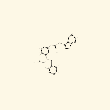 CC1CN(Cc2c(F)cccc2Cl)c2cc(NC(=O)Nc3c[nH]c4ccccc34)ccc2S1